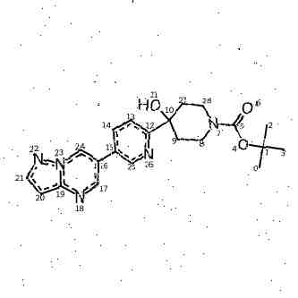 CC(C)(C)OC(=O)N1CCC(O)(c2ccc(-c3cnc4ccnn4c3)cn2)CC1